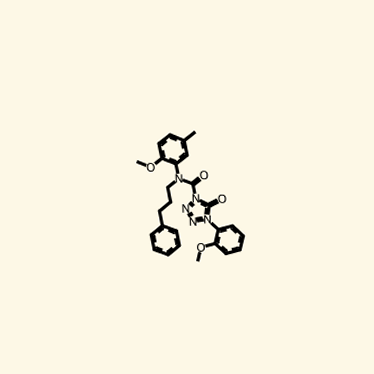 COc1ccc(C)cc1N(CCCc1ccccc1)C(=O)n1nnn(-c2ccccc2OC)c1=O